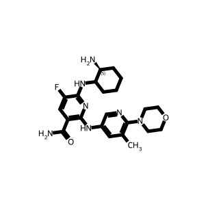 Cc1cc(Nc2nc(NC3CCCC[C@@H]3N)c(F)cc2C(N)=O)cnc1N1CCOCC1